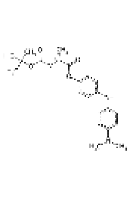 C[C@H](NC(=O)OC(C)(C)C)C(=O)Oc1ccc(Nc2ccc(N(C)C)cc2)cc1